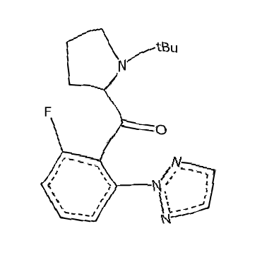 CC(C)(C)N1CCCC1C(=O)c1c(F)cccc1-n1nccn1